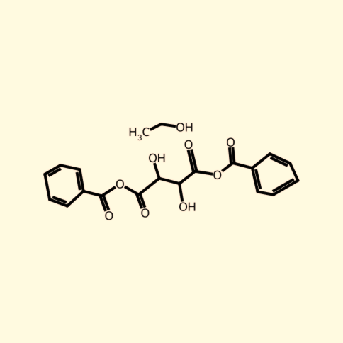 CCO.O=C(OC(=O)C(O)C(O)C(=O)OC(=O)c1ccccc1)c1ccccc1